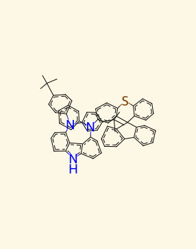 CC(C)(C)c1ccc(N(c2ccc(C(C)(C)C)cc2)c2cccc3[nH]c4cccc(N(c5ccccc5)c5ccc6c(c5)C5(c7ccccc7S6)c6ccccc6-c6ccccc65)c4c23)cc1